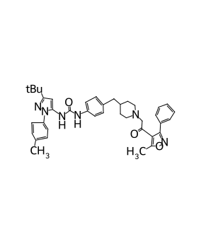 Cc1ccc(-n2nc(C(C)(C)C)cc2NC(=O)Nc2ccc(CC3CCN(CC(=O)c4c(-c5ccccc5)noc4C)CC3)cc2)cc1